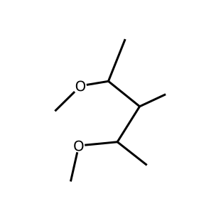 COC(C)C(C)C(C)OC